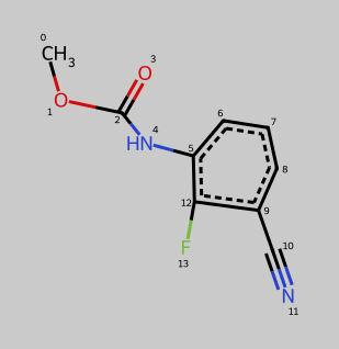 COC(=O)Nc1cccc(C#N)c1F